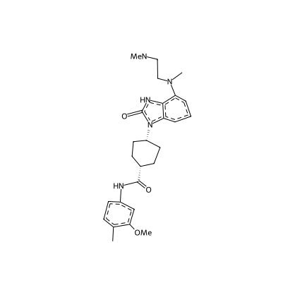 CNCCN(C)c1cccc2c1[nH]c(=O)n2[C@H]1CC[C@@H](C(=O)Nc2ccc(C)c(OC)c2)CC1